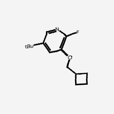 CC(C)(C)c1cnc(F)c(OCC2CCC2)c1